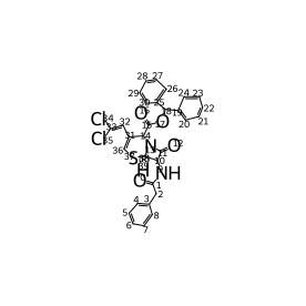 O=C(Cc1ccccc1)NC1C(=O)N2C(C(=O)OC(c3ccccc3)c3ccccc3)C(C=C(Cl)Cl)=CS[C@H]12